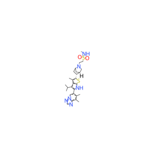 CNS(=O)(=O)CCN1C[C@@H]2CC1C[C@H]2c1sc2[nH]c(-c3cn4ncnc4c(C)c3C)c(C(C)C)c2c1C